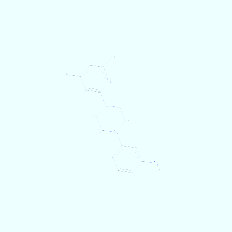 Cc1cc(C)nc(N2CCN(c3cccc(N)c3)CC2)c1